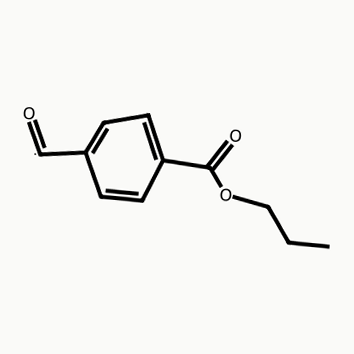 CCCOC(=O)c1ccc([C]=O)cc1